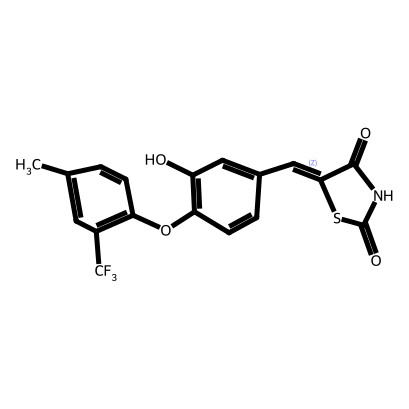 Cc1ccc(Oc2ccc(/C=C3\SC(=O)NC3=O)cc2O)c(C(F)(F)F)c1